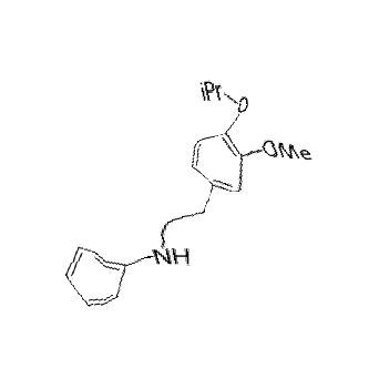 COc1cc(CCNc2ccccc2)ccc1OC(C)C